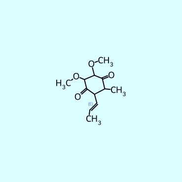 C/C=C/C1C(=O)C(OC)C(OC)C(=O)C1C